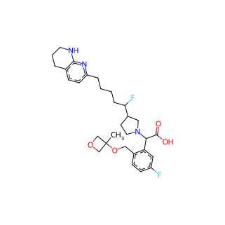 CC1(OCc2ccc(F)cc2C(C(=O)O)N2CCC(C(F)CCCCc3ccc4c(n3)NCCC4)C2)COC1